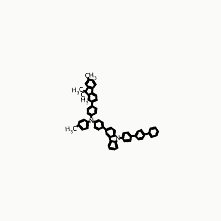 Cc1ccc(N(c2ccc(-c3ccc4c(c3)C(C)(C)c3cc(C)ccc3-4)cc2)c2ccc(-c3ccc4c(c3)c3ccccc3n4-c3ccc(-c4ccc(-c5ccccc5)cc4)cc3)cc2)cc1